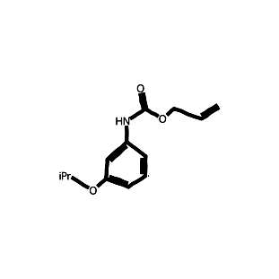 C=CCOC(=O)Nc1c[c]cc(OC(C)C)c1